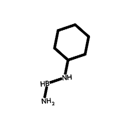 NBNC1CCCCC1